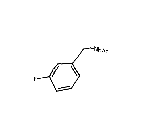 CC(=O)NCc1cccc(F)c1